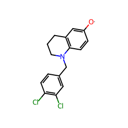 [O]c1ccc2c(c1)CCCN2Cc1ccc(Cl)c(Cl)c1